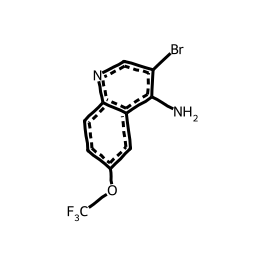 Nc1c(Br)cnc2ccc(OC(F)(F)F)cc12